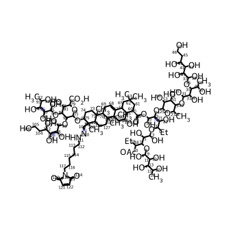 CCC(OC(O)C(O)C(OC(O)C(O)C(O)C(C)O)C(CC)OC(C)=O)/C(O)=C(/OC1OC(C)C(OC(O)C(O)C(OC(O)C(O)C(O)C(O)CCO)C(C)O)C(O)C1O)C(O)OC(=O)[C@@H]1CC(C)(C)CC2C3=CCC4[C@@]5(C)CC[C@H](OC6OC(C(=O)O)[C@H](O)C(OC(O)/C(O)=C(/O)C(C)O)C6OC(O)/C(O)=C(/O)C(O)CCO)[C@@](C)(/C=N/NCCCCCCN6C(=O)C=CC6=O)C5CC[C@@]4(C)[C@]3(C)C[C@@H](O)C21